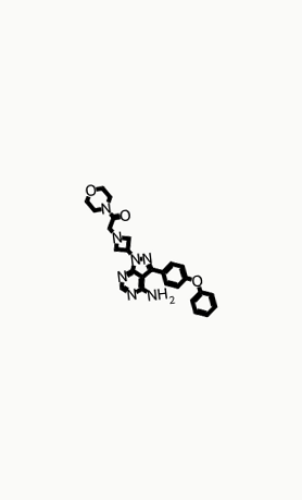 Nc1ncnc2c1c(-c1ccc(Oc3ccccc3)cc1)nn2C1CN(CC(=O)N2CCOCC2)C1